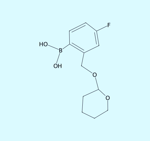 OB(O)c1ccc(F)cc1COC1CCCCO1